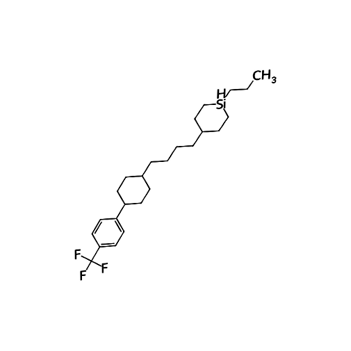 CCC[SiH]1CCC(CCCCC2CCC(c3ccc(C(F)(F)F)cc3)CC2)CC1